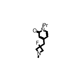 CC(C)n1ccc(CC2(F)CN(C)C2)cc1=O